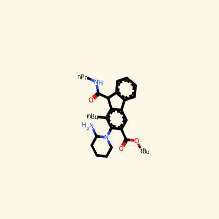 CCCCc1c2c(cc(C(=O)OC(C)(C)C)c1N1CCCCC1N)-c1ccccc1C2C(=O)NCCC